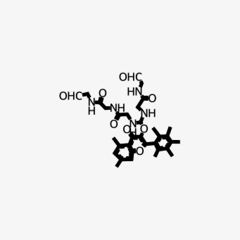 Cc1cc(C)c2c(=O)c(OC(NCC(=O)NCC=O)NCC(=O)NCC(=O)NCC=O)c(-c3c(C)c(C)c(C)c(C)c3C)oc2c1